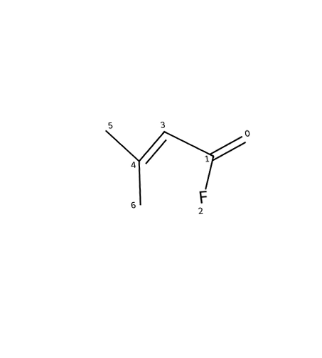 C=C(F)C=C(C)C